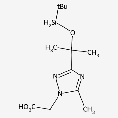 Cc1nc(C(C)(C)O[SiH2]C(C)(C)C)nn1CC(=O)O